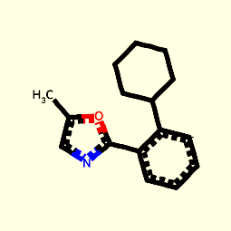 Cc1cnc(-c2ccc[c]c2C2CCCCC2)o1